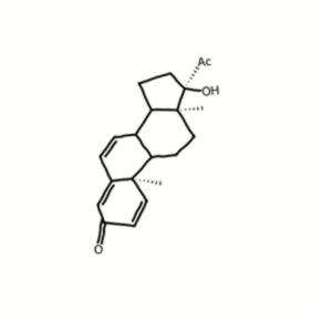 CC(=O)[C@@]1(O)CCC2C3C=CC4=CC(=O)C=C[C@]4(C)C3CC[C@@]21C